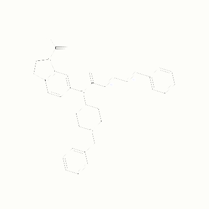 CC(=O)N1CCc2ccc(N(C(=O)/C=C/C=C/c3ccccc3)C3CCN(Cc4ccccc4)CC3)cc21